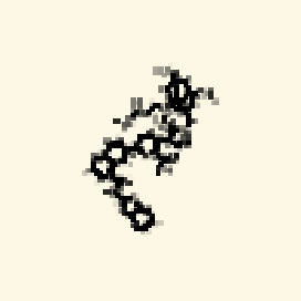 CNCCOC12CC3(C)CC(C)(CC(Cn4ncc(-c5ccc(-c6ccc7cccc(C(=O)Nc8nc9ncccc9s8)c7c6)nc5C(=O)O)c4C)(C3)C1)C2